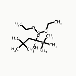 CCO[SiH](OCC)[C@](S)(CC(C)(C)C)[Si](C)(C)C